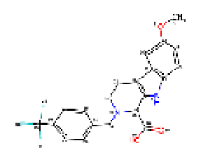 COc1ccc2[nH]c3c(c2c1)CCN(Cc1ccc(C(F)(F)F)cc1)C3C(=O)O